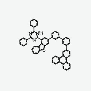 c1ccc(C2=NC(c3cc(-c4cccc(-c5cccc(-c6ccc7c8ccccc8c8ccccc8c7c6)c5)c4)cc4sc5ccccc5c34)NC(c3ccccc3)=N2)cc1